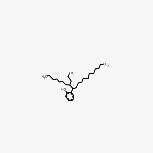 CCCCCCCCCCCC(c1ccccc1O)C(CCC)CCCCCCC